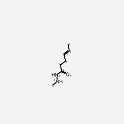 C/C=C/CCC(=O)NNC